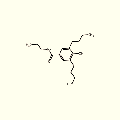 CCCCc1cc(C(=O)NCCC)cc(CCCC)c1O